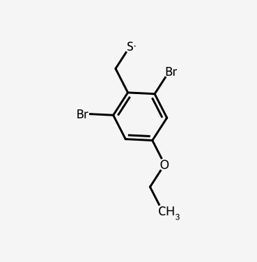 CCOc1cc(Br)c(C[S])c(Br)c1